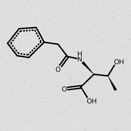 C[C@H](O)[C@H](NC(=O)Cc1ccccc1)C(=O)O